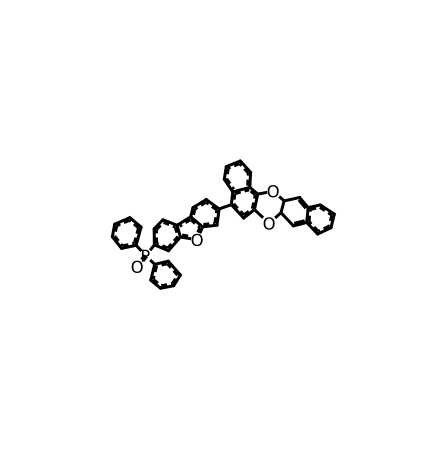 O=P(c1ccccc1)(c1ccccc1)c1ccc2c(c1)oc1cc(-c3cc4c(c5ccccc35)OC3C=c5ccccc5=CC3O4)ccc12